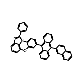 c1ccc(-c2nc3cccc4c3n2-c2ccc(-c3c5ccccc5c(-c5ccc6ccccc6c5)c5ccccc35)cc2O4)cc1